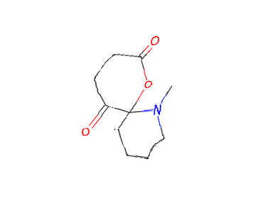 CN1CCC[CH]C12OC(=O)CCC2=O